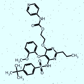 CCCc1nc(NS(=O)(=O)c2ccc(C(C)(C)C)cc2)c(Oc2ccccc2OC)c(OCCOC(=O)Nc2ccncc2)n1